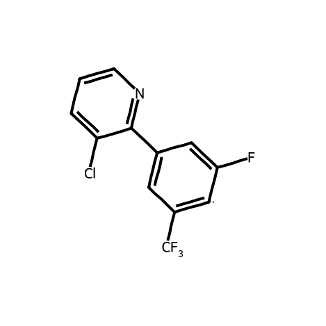 Fc1[c]c(C(F)(F)F)cc(-c2ncccc2Cl)c1